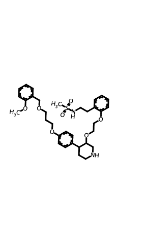 COc1ccccc1COCCCOc1ccc(C2CCNCC2OCCOc2ccccc2CCNS(C)(=O)=O)cc1